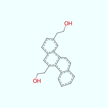 OCCc1ccc2cc(CCO)c3c4ccccc4ccc3c2c1